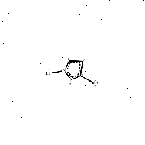 [CH2]CCc1ccn(CC)n1